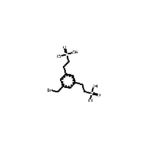 O=P(O)(O)CCc1cc(CBr)cc(CCP(=O)(O)O)c1